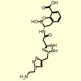 NCCn1cc(CN2N=C(CC(=O)N[C@H]3Cc4cccc(C(=O)O)c4OB3O)NN2)nn1